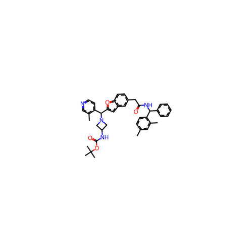 Cc1ccc(C(NC(=O)Cc2ccc3oc(C(c4ccncc4C)N4CC(NC(=O)OC(C)(C)C)C4)cc3c2)c2ccccc2)c(C)c1